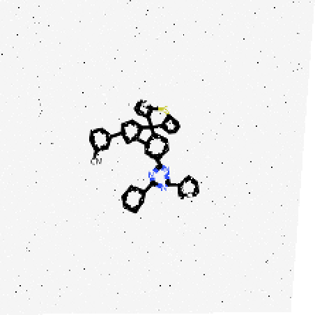 N#Cc1cccc(-c2ccc3c(c2)-c2cc(-c4nc(-c5ccccc5)nc(-c5ccccc5)n4)ccc2C32c3ccccc3Sc3ccccc32)c1